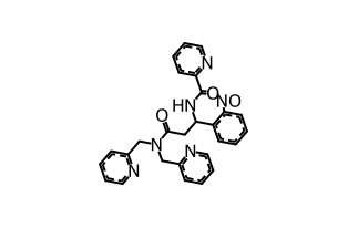 O=Nc1ccccc1C(CC(=O)N(Cc1ccccn1)Cc1ccccn1)NC(=O)c1ccccn1